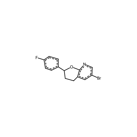 Fc1ccc(C2CCc3cc(Br)cnc3O2)cc1